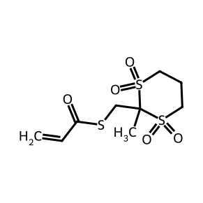 C=CC(=O)SCC1(C)S(=O)(=O)CCCS1(=O)=O